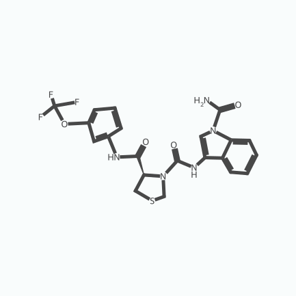 NC(=O)n1cc(NC(=O)N2CSC[C@H]2C(=O)Nc2cccc(OC(F)(F)F)c2)c2ccccc21